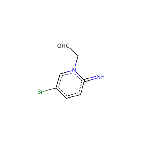 N=c1ccc(Br)cn1CC=O